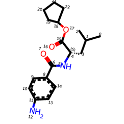 CC(C)C[C@H](NC(=O)c1ccc(N)cc1)C(=O)OC1CCCC1